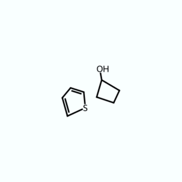 OC1CCC1.c1ccsc1